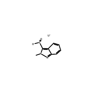 Cn1nc2ccccc2c1S(=O)[O-].[Li+]